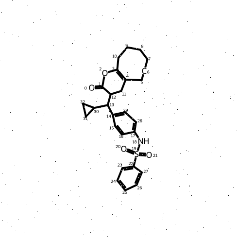 O=C1OC2=C(CCCCCC2)CC1C(c1ccc(NS(=O)(=O)c2ccccc2)cc1)C1CC1